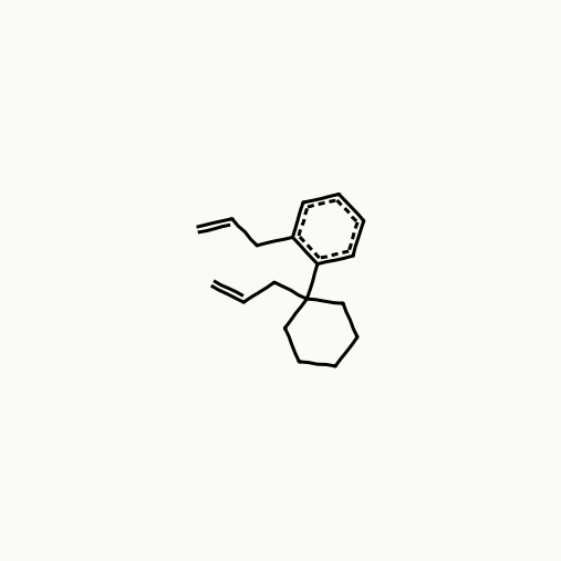 C=CCc1ccccc1C1(CC=C)CCCCC1